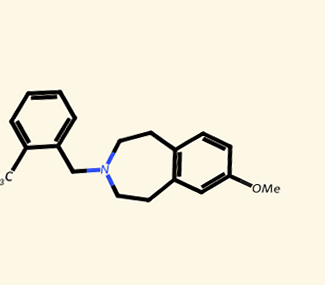 COc1ccc2c(c1)CCN(Cc1ccccc1C)CC2